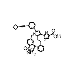 NS(=O)(=O)c1ccc(Cn2c(-c3cccc(C#CC4CCC4)c3)cc(-c3nc(C(=O)O)cs3)c2CCc2ccccc2)cc1F